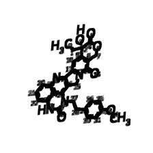 CC[C@@]1(O)C(=O)OCc2c1cc1n(c2=O)Cc2c-1nc1cccc3c1c2N(CCc1ccc(OC)cc1)C(=O)N3